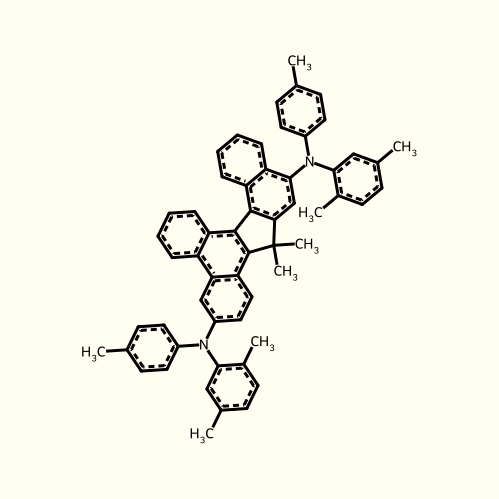 Cc1ccc(N(c2ccc3c4c(c5ccccc5c3c2)-c2c(cc(N(c3ccc(C)cc3)c3cc(C)ccc3C)c3ccccc23)C4(C)C)c2cc(C)ccc2C)cc1